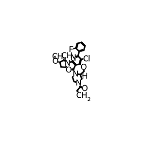 C=CC(=O)N1CCN2C(=O)c3c(N4CCC(OC)[C@@H]4C)nc(-c4ccccc4F)c(Cl)c3OC[C@H]2C1